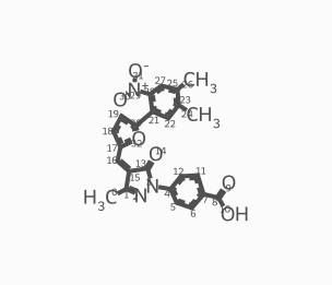 CC1=NN(c2ccc(C(=O)O)cc2)C(=O)C1=Cc1ccc(-c2cc(C)c(C)cc2[N+](=O)[O-])o1